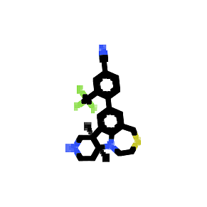 N#Cc1ccc(-c2cc3c4c(c2)[C@@H]2CNCC[C@@H]2N4CCSC3)c(C(F)(F)F)c1